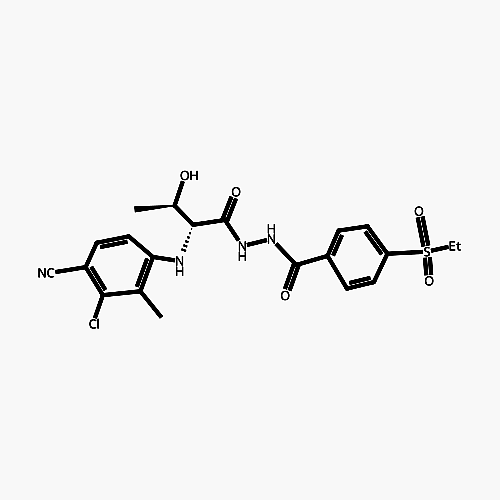 CCS(=O)(=O)c1ccc(C(=O)NNC(=O)[C@H](Nc2ccc(C#N)c(Cl)c2C)[C@@H](C)O)cc1